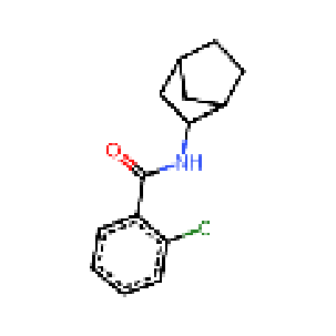 O=C(NC1CC2CCC1C2)c1ccccc1Cl